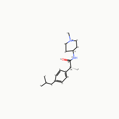 CC(C)Cc1ccc([C@@H](C)C(=O)NC2CCN(C)CC2)cc1